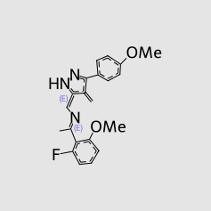 C=c1c(-c2ccc(OC)cc2)n[nH]/c1=C/N=C(\C)c1c(F)cccc1OC